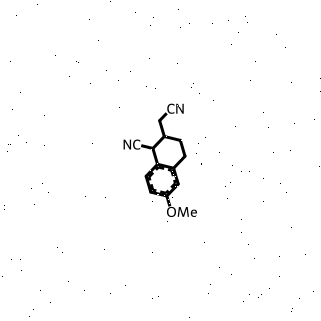 COc1ccc2c(c1)CCC(CC#N)C2C#N